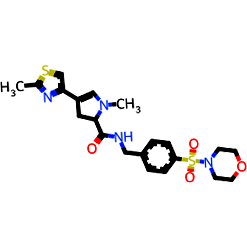 Cc1nc(C2=CN(C)C(C(=O)NCc3ccc(S(=O)(=O)N4CCOCC4)cc3)C2)cs1